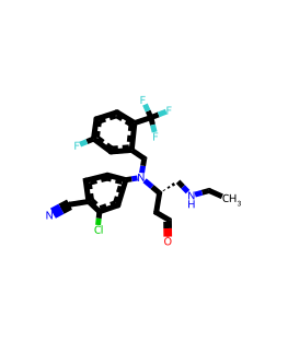 CCNC[C@H](CC=O)N(Cc1cc(F)ccc1C(F)(F)F)c1ccc(C#N)c(Cl)c1